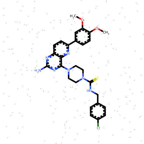 COc1ccc(-c2ccc3nc(N)nc(N4CCN(C(=S)NCc5ccc(Cl)cc5)CC4)c3n2)cc1OC